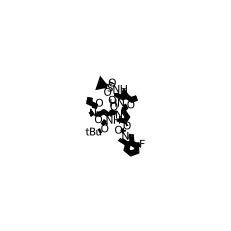 C=CC(=O)N(C)CCC(NC(=O)OC(C)(C)C)C(=O)N1C[C@H](OC(=O)N2Cc3cccc(F)c3C2)CC1C(=O)N[C@]1(C(=O)NS(=O)(=O)C2CC2)CC1C=C